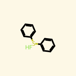 F.c1ccc(Sc2ccccc2)cc1